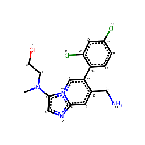 CN(CCO)c1cnc2cc(CN)c(-c3ccc(Cl)cc3Cl)cn12